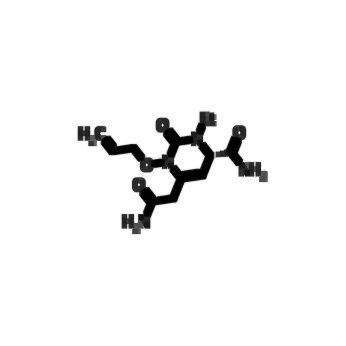 C=CCON1C(=O)N(CC)[C@H](C(N)=O)C=C1CC(N)=O